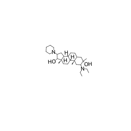 CCN(CC)C1C[C@@]2(C)C(CC[C@@H]3[C@H]2CC[C@]2(C)C(O)C(N4CCCCC4)C[C@@H]32)CC1(C)O